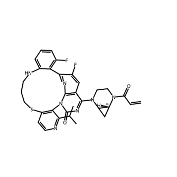 C=CC(=O)N1CCN(c2nc(=O)n3c4nc(c(F)cc24)-c2c(F)cccc2NCCCSc2ccnc(C(C)C)c2-3)C2C[C@H]21